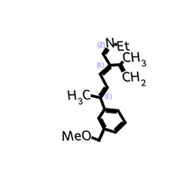 C=C(C)C(/C=N\CC)=C\C=C(/C)c1cccc(COC)c1